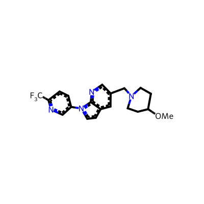 COC1CCN(Cc2cnc3c(ccn3-c3ccc(C(F)(F)F)nc3)c2)CC1